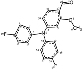 COc1cc(N(c2ccc(F)cc2)c2ccc(F)cc2)ccc1C=O